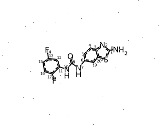 Nc1nc2ccc(NC(=O)Nc3cc(F)ccc3F)cc2s1